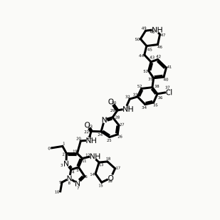 CCc1nc2c(cnn2CC)c(NC2CCOCC2)c1CNC(=O)c1cccc(C(=O)NCc2ccc(Cl)c(-c3cccc(CC4CCNCC4)c3)c2)n1